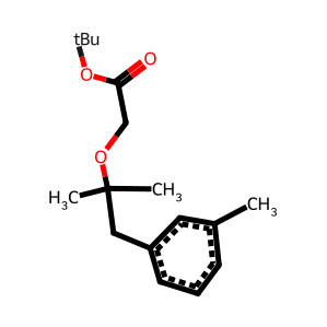 Cc1cccc(CC(C)(C)OCC(=O)OC(C)(C)C)c1